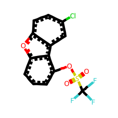 O=S(=O)(Oc1cccc2oc3ccc(Cl)cc3c12)C(F)(F)F